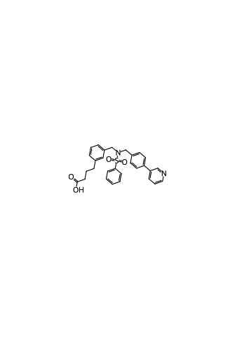 O=C(O)CCCc1cccc(CN(Cc2ccc(-c3cccnc3)cc2)S(=O)(=O)c2ccccc2)c1